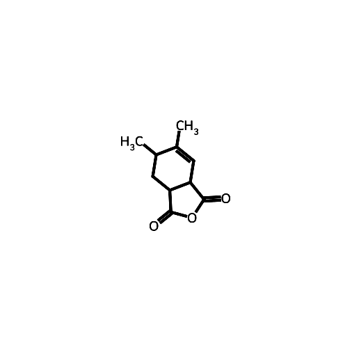 CC1=CC2C(=O)OC(=O)C2CC1C